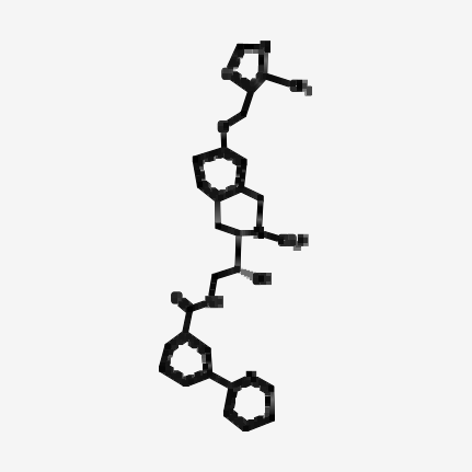 Cc1ncoc1COc1ccc2c(c1)CN(C(=O)O)C([C@H](O)CNC(=O)c1cccc(-c3ccccn3)c1)C2